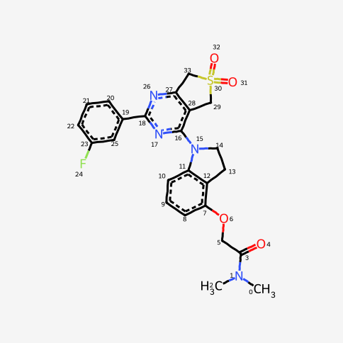 CN(C)C(=O)COc1cccc2c1CCN2c1nc(-c2cccc(F)c2)nc2c1CS(=O)(=O)C2